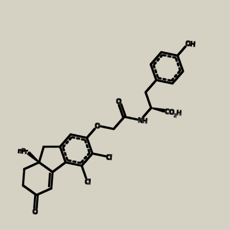 CCC[C@]12CCC(=O)C=C1c1c(cc(OCC(=O)N[C@@H](Cc3ccc(O)cc3)C(=O)O)c(Cl)c1Cl)C2